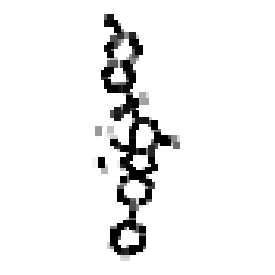 CN1C2(CCN(c3ccncc3)CC2)CN2C(=O)CN(S(=O)(=O)c3ccc4cc(Cl)ccc4c3)CC21CO